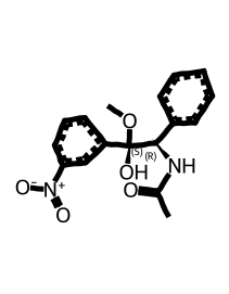 CO[C@@](O)(c1cccc([N+](=O)[O-])c1)[C@H](NC(C)=O)c1ccccc1